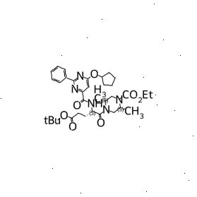 CCOC(=O)N1C[C@@H](C)N(C(=O)[C@H](CCC(=O)OC(C)(C)C)NC(=O)c2cc(OC3CCCC3)nc(-c3ccccc3)n2)C[C@@H]1C